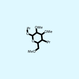 COCC1OC(OC(C)C)C(OC)C(OC)C1C(C)C